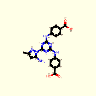 Cc1cc(N)n(-c2nc(Nc3ccc(C(=O)O)cc3)nc(Nc3ccc(C(=O)O)cc3)n2)n1